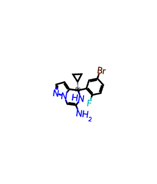 NC1=Cn2nccc2[C@](c2cc(Br)ccc2F)(C2CC2)N1